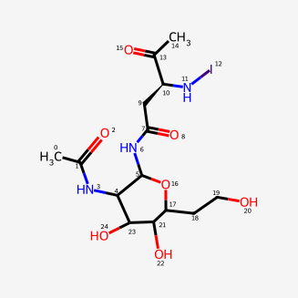 CC(=O)NC1C(NC(=O)C[C@H](NI)C(C)=O)OC(CCO)C(O)C1O